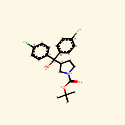 CC(C)(C)OC(=O)N1CCC(C(O)(c2ccc(F)cc2)c2ccc(F)cc2)C1